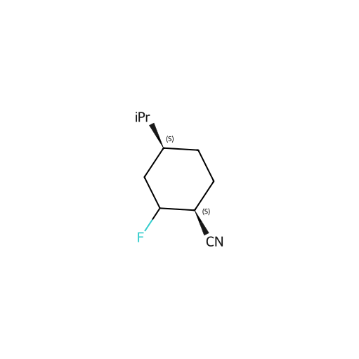 CC(C)[C@H]1CC[C@@H](C#N)C(F)C1